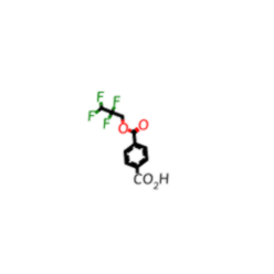 O=C(O)c1ccc(C(=O)OCC(F)(F)C(F)F)cc1